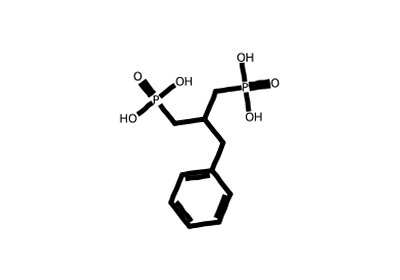 O=P(O)(O)CC(Cc1ccccc1)CP(=O)(O)O